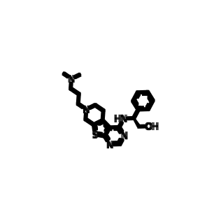 CN(C)CCCN1CCc2c(sc3ncnc(N[C@H](CO)c4ccccc4)c23)C1